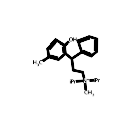 Cc1ccc(O)c(C(CC[N+](C)(C(C)C)C(C)C)c2ccccc2)c1